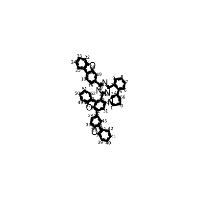 c1cncc(-c2ccccc2-c2nc(-c3ccc4c(c3)oc3ccccc34)nc(-c3ccc(-c4ccc5oc6ccccc6c5c4)c4oc5ccccc5c34)n2)c1